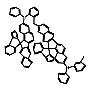 Cc1cccc(N(c2ccccc2)c2ccc3c4c(ccc3c2)-c2cc3ccc(Cc5ccccc5N(c5ccccc5)c5ccc6c7c(ccc6c5)-c5cc6ccccc6cc5C75c6ccccc6-c6ccccc65)cc3cc2C42c3ccccc3-c3ccccc32)c1